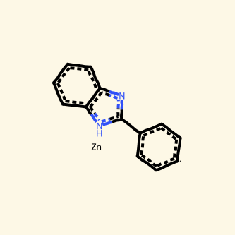 [Zn].[c]1ccc(-c2nc3ccccc3[nH]2)cc1